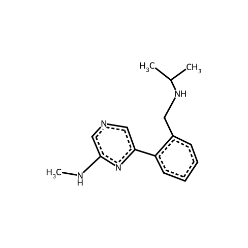 CNc1cncc(-c2ccccc2CNC(C)C)n1